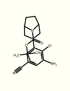 CC(C)(C)OC(=O)N1C2CCC1CN(c1cc(C#N)cc(N)c1Cl)C2